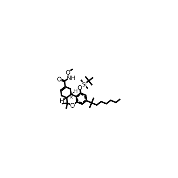 CCCCCCC(C)(C)c1cc2c(c(O[Si](C)(C)C(C)(C)C)c1)[C@@H]1CC(C(=O)NOC)=CC[C@H]1C(C)(C)O2